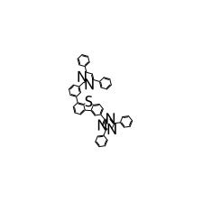 c1ccc(-c2cc(-c3ccccc3)nc(-c3cccc(-c4cccc5c4sc4ccc(-c6nc(-c7ccccc7)nc(-c7ccccc7)n6)cc45)c3)n2)cc1